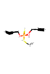 C#CCOP(=S)(OCC#C)SCCC